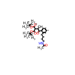 CC(=O)NCCCCc1ccccc1C(=O)C(C)C(C(=O)OC(C)(C)C)C(=O)OC(C)(C)C